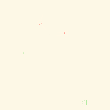 COC(=O)C(Cl)c1ccc(Cl)cc1F